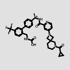 C[C@@H](NC(=O)c1cc(N2CC3(CCCN(C(=O)C4CC4)C3)C2)ccn1)c1ccc(-c2cc(C(F)(F)F)ccc2CNC(=O)O)cc1